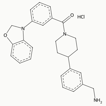 Cl.NCc1cccc(C2CCN(C(=O)c3cccc(N4COc5ccccc54)c3)CC2)c1